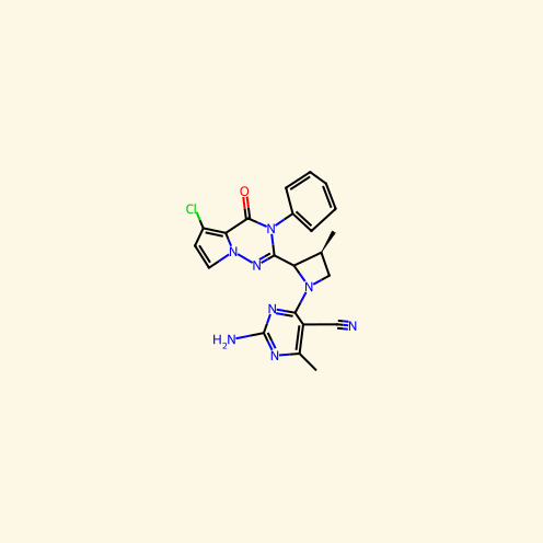 Cc1nc(N)nc(N2C[C@H](C)C2c2nn3ccc(Cl)c3c(=O)n2-c2ccccc2)c1C#N